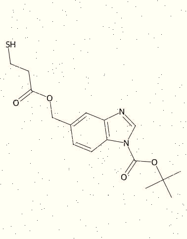 CC(C)(C)OC(=O)n1cnc2cc(COC(=O)CCS)ccc21